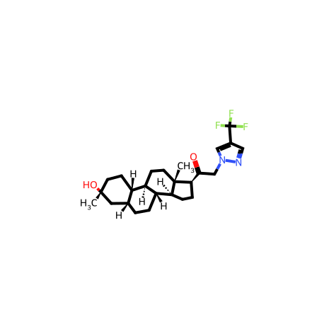 C[C@@]1(O)CC[C@H]2[C@H](CC[C@@H]3[C@@H]2CC[C@]2(C)[C@@H](C(=O)Cn4cc(C(F)(F)F)cn4)CC[C@@H]32)C1